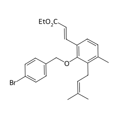 CCOC(=O)/C=C/c1ccc(C)c(CC=C(C)C)c1OCc1ccc(Br)cc1